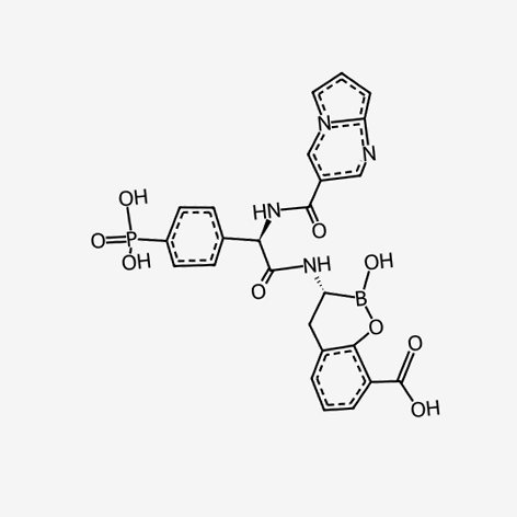 O=C(N[C@@H](C(=O)N[C@H]1Cc2cccc(C(=O)O)c2OB1O)c1ccc(P(=O)(O)O)cc1)c1cnc2cccn2c1